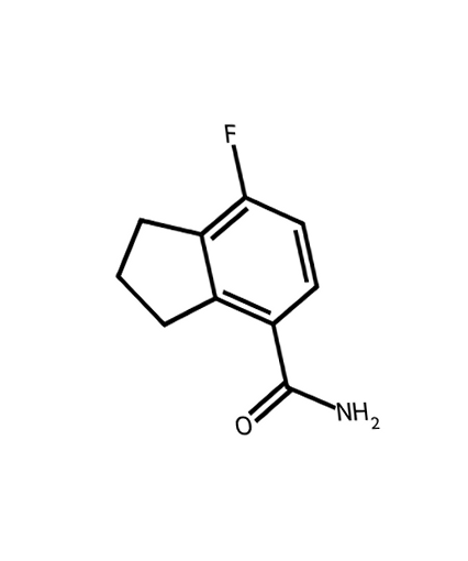 NC(=O)c1ccc(F)c2c1CCC2